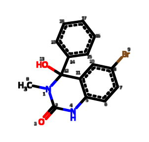 CN1C(=O)Nc2ccc(Br)cc2C1(O)c1ccccc1